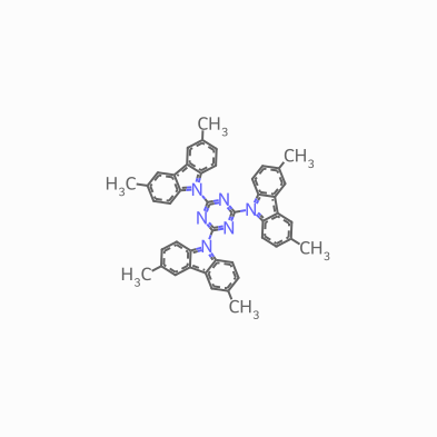 Cc1ccc2c(c1)c1cc(C)ccc1n2-c1nc(-n2c3ccc(C)cc3c3cc(C)ccc32)nc(-n2c3ccc(C)cc3c3cc(C)ccc32)n1